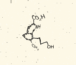 Cc1ccc2cc(C(=O)O)[nH]c2c1CCCO